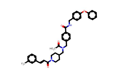 O=C(O)C(=O)N(Cc1ccc(C(=O)NCc2ccc(Oc3ccccc3)cc2)cc1)CC1CCN(C(=O)/C=C/c2cccc(C(F)(F)F)c2)CC1